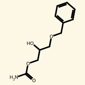 NC(=O)OCC(O)COCc1ccccc1